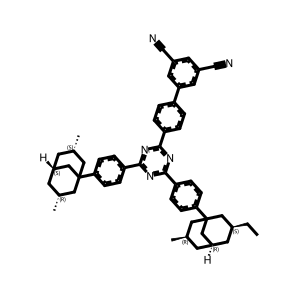 CC[C@H]1C[C@H]2C[C@@H](C)CC(c3ccc(-c4nc(-c5ccc(-c6cc(C#N)cc(C#N)c6)cc5)nc(-c5ccc(C67C[C@H](C)C[C@H](C[C@H](C)C6)C7)cc5)n4)cc3)(C2)C1